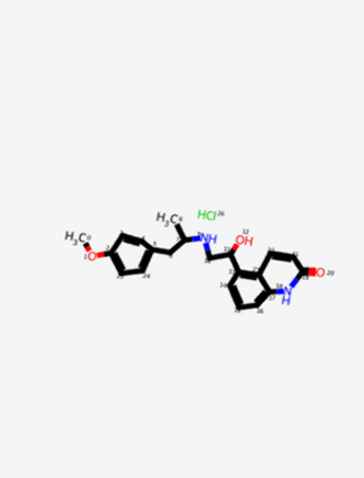 COc1ccc(CC(C)NCC(O)c2cccc3[nH]c(=O)ccc23)cc1.Cl